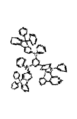 c1ccc(N(c2cc(-c3ccc4c(c3)c3c5ccccc5c5ccccc5c3n4-c3ccccc3)cc(N(c3ccccc3)c3ccc4c(c3)C(c3ccccc3)(c3ccccc3)c3ccccc3-4)c2)c2ccc3c(c2)C(c2ccccc2)(c2ccccc2)c2ccccc2-3)cc1